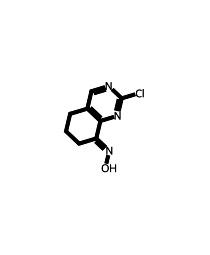 ON=C1CCCc2cnc(Cl)nc21